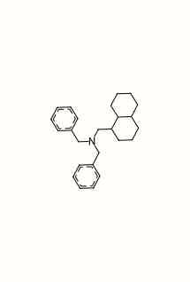 c1ccc(CN(Cc2ccccc2)CC2CCCC3CCCCC32)cc1